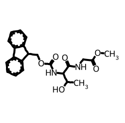 COC(=O)CNC(=O)C(NC(=O)OCC1c2ccccc2-c2ccccc21)C(C)O